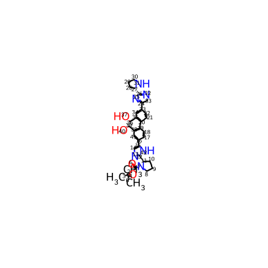 CC(C)(C)OC(=O)N1CCC[C@@H]1c1ncc(-c2ccc(-c3ccc(C4=NC([C@@H]5CCCN5)=NC4)cc3CO)c(CO)c2)[nH]1